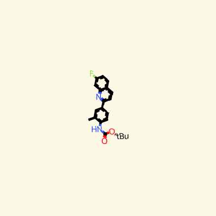 Cc1cc(-c2ccc3ccc(F)cc3n2)ccc1NC(=O)OC(C)(C)C